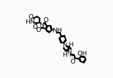 O=C1CCC(N2C(=O)c3ccc(NCCc4ccc(N5C[C@H]6C[C@@H]5CN6/C=C/C(=O)c5ccccc5O)cc4)cc3C2=O)C(=O)N1